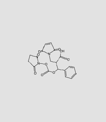 O=C(OC(c1ccccc1)C(CN1C(=O)C=CC1=O)C(=O)O)ON1C(=O)CCC1=O